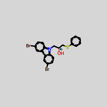 O[C@@H](CSc1ccccc1)Cn1c2ccc(Br)cc2c2cc(Br)ccc21